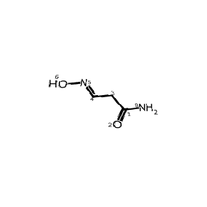 NC(=O)CC=NO